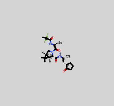 CC(F)(F)C(=O)N[C@H](C(=O)N1C[C@H]2[C@@H]([C@H]1C(=O)N[C@H](C#N)C[C@@H]1CCCC1=O)C2(C)C)C(C)(C)C